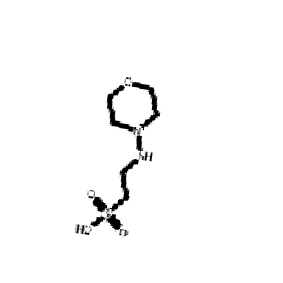 O=S(=O)(O)CCNN1CCOCC1